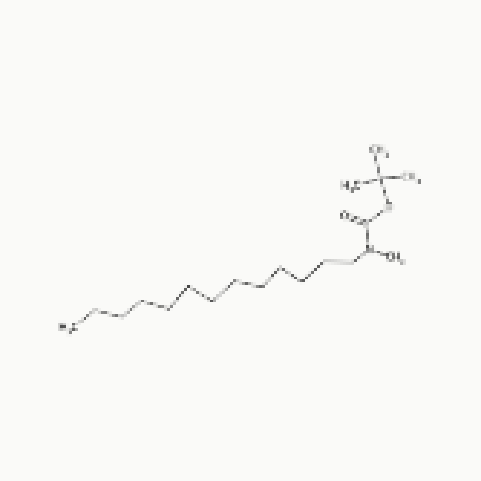 CCCCCCCCCCCCCN(C)C(=O)OC(C)(C)C